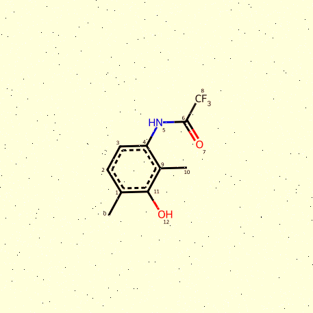 Cc1ccc(NC(=O)C(F)(F)F)c(C)c1O